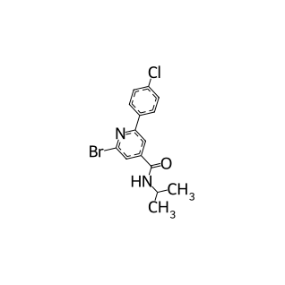 CC(C)NC(=O)c1cc(Br)nc(-c2ccc(Cl)cc2)c1